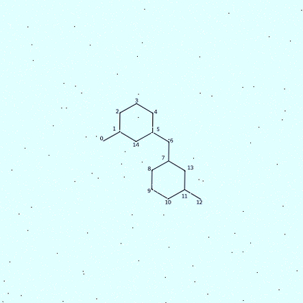 CC1CCCC([CH]C2CCCC(C)C2)C1